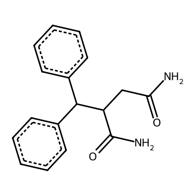 NC(=O)CC(C(N)=O)C(c1ccccc1)c1ccccc1